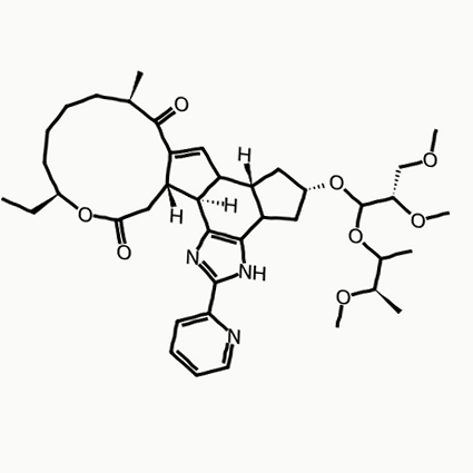 CC[C@H]1CCCC[C@@H](C)C(=O)C2=CC3[C@@H]4C[C@H](OC(OC(C)[C@@H](C)OC)[C@H](COC)OC)CC4c4[nH]c(-c5ccccn5)nc4[C@H]3[C@@H]2CC(=O)O1